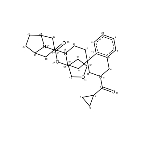 O=C(C1CC1)N1Cc2ccccc2C2(CCN(C3CC4CCC(C3)N4C(=O)OC3CCOC3)CC2)C1